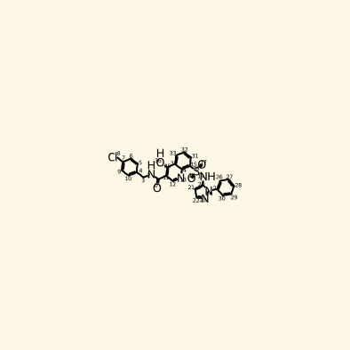 O=C(NCc1ccc(Cl)cc1)c1cnc2c(S(=O)(=O)Nc3ccnn3-c3ccccc3)cccc2c1O